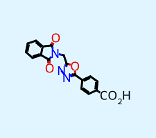 O=C(O)c1ccc(-c2nnc(CN3C(=O)c4ccccc4C3=O)o2)cc1